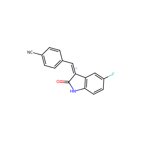 N#Cc1ccc(/C=C2\C(=O)Nc3ccc(F)cc32)cc1